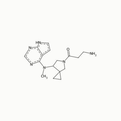 CN(c1ncnc2[nH]ccc12)C1CN(C(=O)CCN)CC12CC2